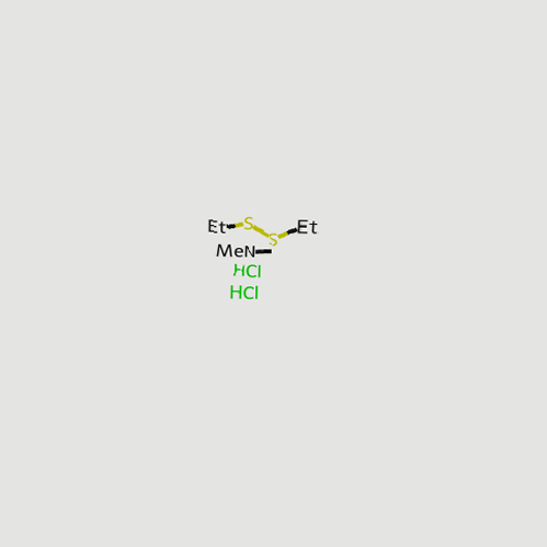 CCSSCC.CNC.Cl.Cl